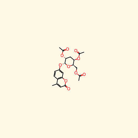 CC(=O)OC[C@H]1O[C@H](Oc2ccc3c(C)cc(=O)oc3c2)[C@H](OC(C)=O)C[C@H]1OC(C)=O